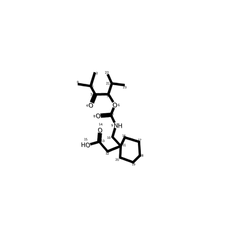 CC(C)C(=O)C(OC(=O)NCC1(CC(=O)O)CCCCC1)C(C)C